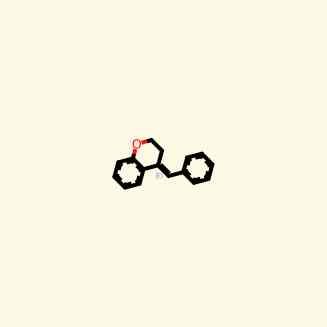 C(=C1/CCOc2ccccc21)/c1ccccc1